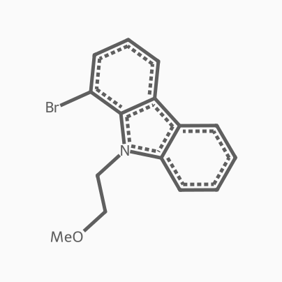 COCCn1c2ccccc2c2cccc(Br)c21